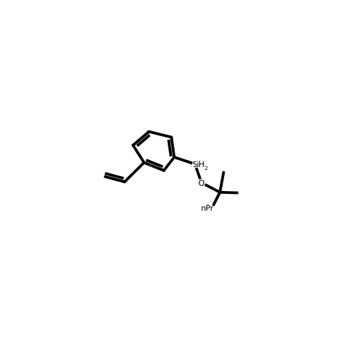 C=Cc1cccc([SiH2]OC(C)(C)CCC)c1